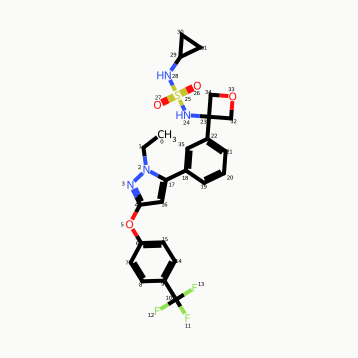 CCn1nc(Oc2ccc(C(F)(F)F)cc2)cc1-c1cccc(C2(NS(=O)(=O)NC3CC3)COC2)c1